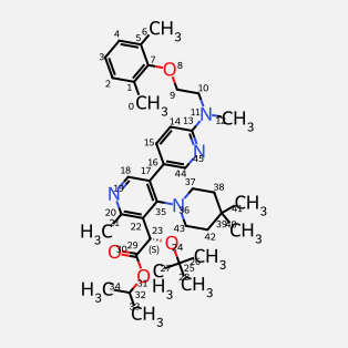 Cc1cccc(C)c1OCCN(C)c1ccc(-c2cnc(C)c([C@H](OC(C)(C)C)C(=O)OC(C)C)c2N2CCC(C)(C)CC2)cn1